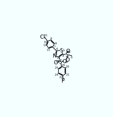 CS(=O)(=O)c1sc(-c2ccc(Cl)cc2)nc1S(=O)(=O)c1ccc(F)cc1